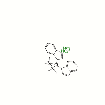 C[Si]1(C)[Si](C)(C)[Ti]1([CH]1C=Cc2ccccc21)[CH]1C=Cc2ccccc21.Cl.Cl